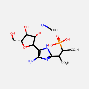 NC=O.Nc1nc(C(C(=O)O)C(C(=O)O)P(=O)(O)O)[nH]c1C1O[C@H](CO)[C@@H](O)[C@H]1O